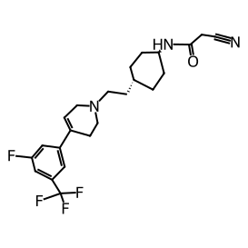 N#CCC(=O)N[C@H]1CC[C@H](CCN2CC=C(c3cc(F)cc(C(F)(F)F)c3)CC2)CC1